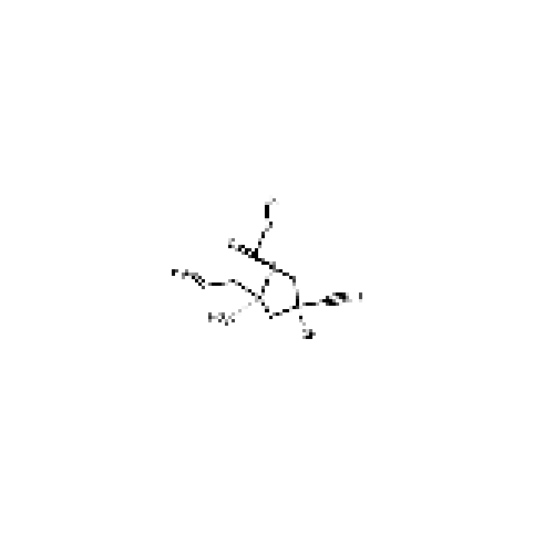 C#C[C@]1(O)CN(C(=O)OC(C)(C)C)[C@@](CC=C)(C(=O)O)C1